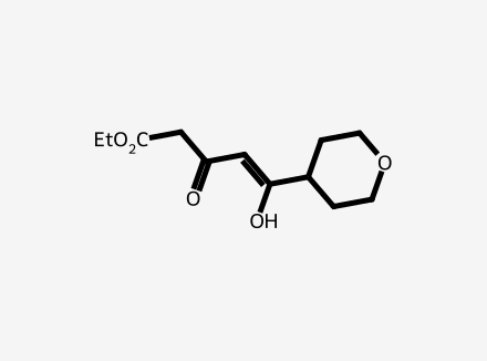 CCOC(=O)CC(=O)C=C(O)C1CCOCC1